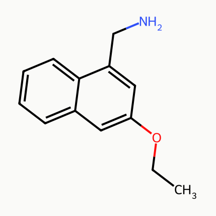 CCOc1cc(CN)c2ccccc2c1